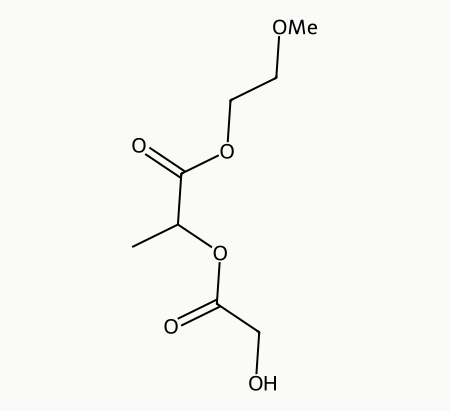 COCCOC(=O)C(C)OC(=O)CO